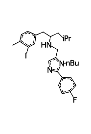 CCCCn1c(CNC(Cc2ccc(C)c(I)c2)CC(C)C)cnc1-c1ccc(F)cc1